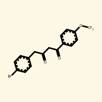 O=C(CC(=O)c1ccc(OC(F)(F)F)cc1)Cc1ccc(Br)cc1